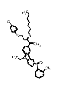 C=C(/C(CCSc1ccc(Cl)cc1)=N/CCCCCCC)c1ccc2c(c1)c1cc(C(=O)c3ccccc3C)ccc1n2CC